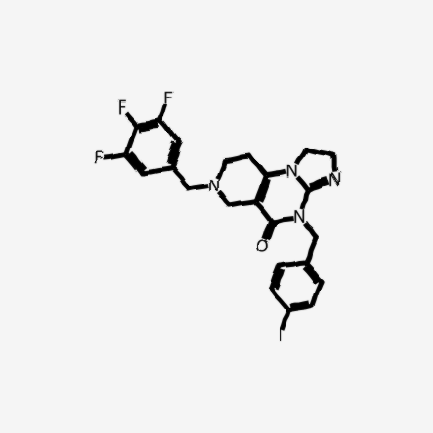 O=C1C2=C(CCN(Cc3cc(F)c(F)c(F)c3)C2)N2CCN=C2N1Cc1ccc(I)cc1